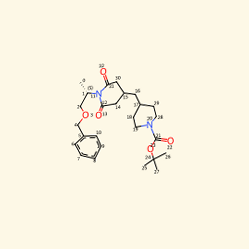 C[C@@H](COCc1ccccc1)N1C(=O)CC(CC2CCN(C(=O)OC(C)(C)C)CC2)CC1=O